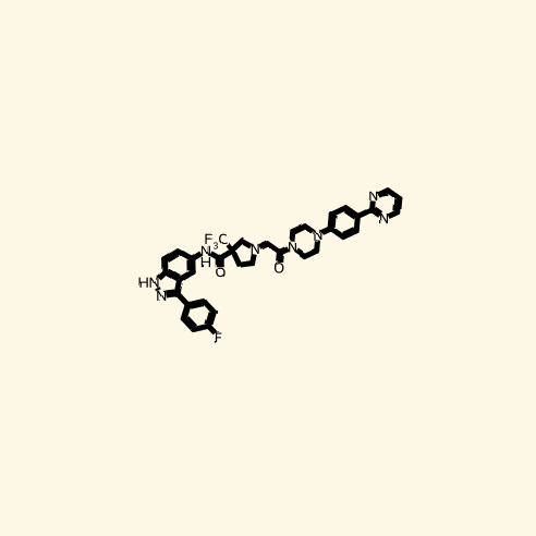 O=C(CN1CCC(C(=O)Nc2ccc3[nH]nc(-c4ccc(F)cc4)c3c2)(C(F)(F)F)C1)N1CCN(c2ccc(-c3ncccn3)cc2)CC1